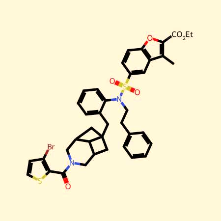 CCOC(=O)c1oc2ccc(S(=O)(=O)N(CCc3ccccc3)c3ccccc3CC34CC5CN(C(=O)c6sccc6Br)CC(C3)C54)cc2c1C